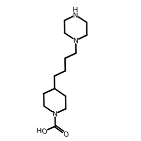 O=C(O)N1CCC(CCCCN2CCNCC2)CC1